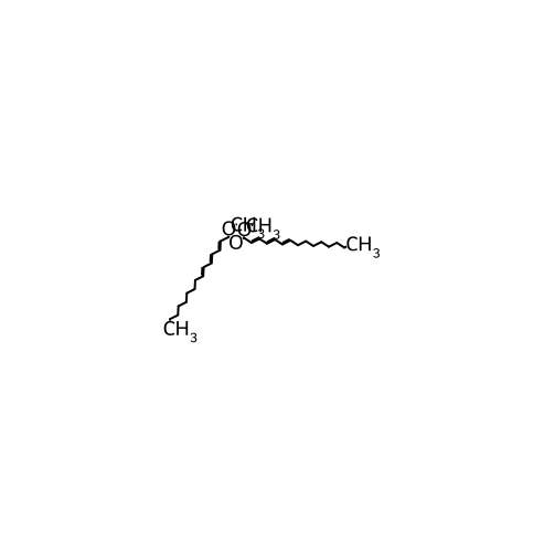 CCCCCCCCC=CC=CC=CC(OC)OC(C=CC=CC=CCCCCCCCC)OC